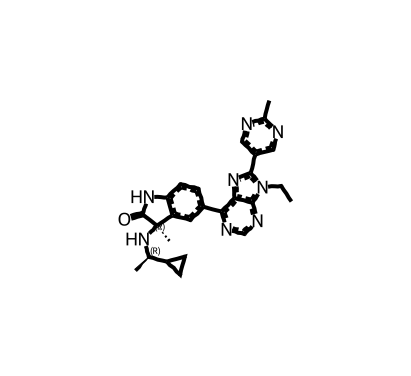 CCn1c(-c2cnc(C)nc2)nc2c(-c3ccc4c(c3)[C@@](C)(N[C@H](C)C3CC3)C(=O)N4)ncnc21